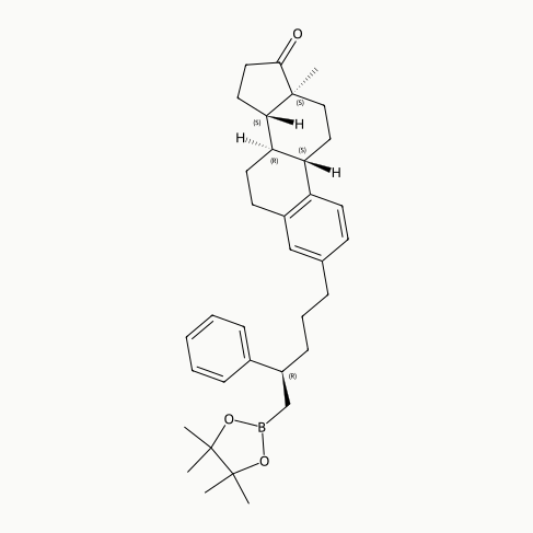 CC1(C)OB(C[C@H](CCCc2ccc3c(c2)CC[C@@H]2[C@@H]3CC[C@]3(C)C(=O)CC[C@@H]23)c2ccccc2)OC1(C)C